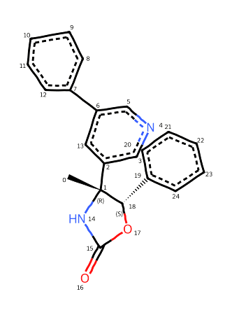 C[C@]1(c2cncc(-c3ccccc3)c2)NC(=O)O[C@H]1c1ccccc1